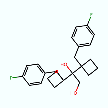 OCC(O)(C1(Cc2ccc(F)cc2)CCC1)C1(Cc2ccc(F)cc2)CCC1